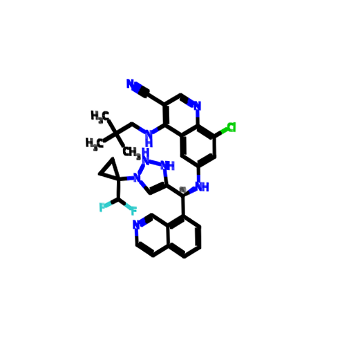 CC(C)(C)CNc1c(C#N)cnc2c(Cl)cc(N[C@H](C3=CN(C4(C(F)F)CC4)NN3)c3cccc4ccncc34)cc12